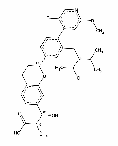 COc1cc(-c2ccc([C@H]3CCc4ccc([C@H](O)[C@H](C)C(=O)O)cc4O3)cc2CN(C(C)C)C(C)C)c(F)cn1